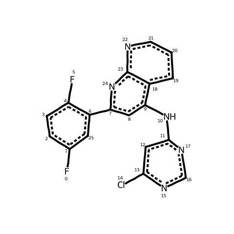 Fc1ccc(F)c(-c2cc(Nc3cc(Cl)ncn3)c3cccnc3n2)c1